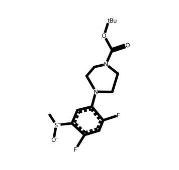 C[S+]([O-])c1cc(N2CCN(C(=O)OC(C)(C)C)CC2)c(F)cc1F